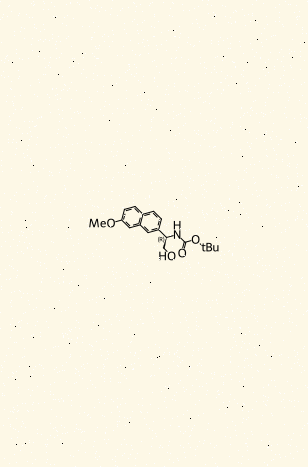 COc1ccc2ccc([C@H](CO)NC(=O)OC(C)(C)C)cc2c1